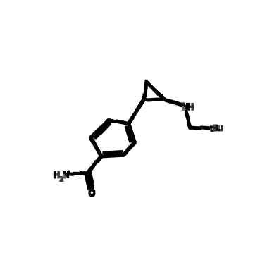 CC(C)(C)CNC1CC1c1ccc(C(N)=O)cc1